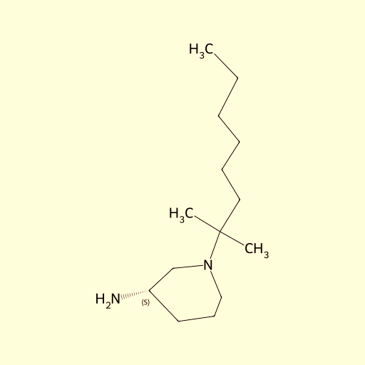 CCCCCCC(C)(C)N1CCC[C@H](N)C1